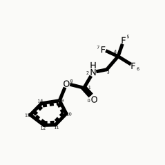 O=C(NCC(F)(F)F)Oc1ccccc1